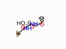 CC1(C)CCC(C)(C)c2cc(C(=O)/C=C/c3ccc(C(=O)NC(CCCCNC(=O)CCCC[C@@H]4CCSS4)C(=O)O)cc3)ccc21